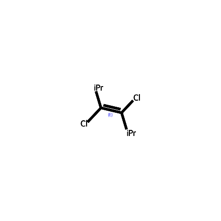 CC(C)/C(Cl)=C(\Cl)C(C)C